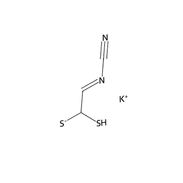 N#CN=CC([S-])S.[K+]